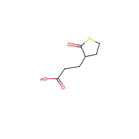 O=C(O)CCC1CCSC1=O